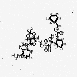 CC1(C)O[C@@H]2[C@H](O1)[C@@H](COS(=O)(=O)NC(=O)c1ccccc1NC(=O)OCc1ccccc1)O[C@H]2n1cnc2c(N)ncnc21